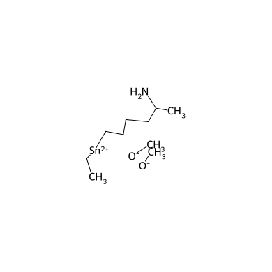 C[CH2][Sn+2][CH2]CCCC(C)N.C[O-].C[O-]